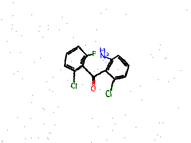 Nc1cccc(Cl)c1C(=O)c1c(F)cccc1Cl